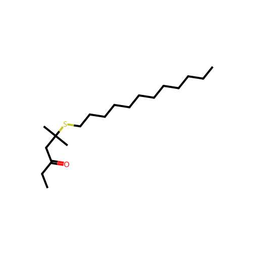 CCCCCCCCCCCCSC(C)(C)CC(=O)CC